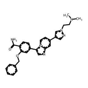 CN(C)CCn1cc(-c2ccn3c(-c4ccc(C(N)=O)c(OCc5ccccc5)c4)cnc3c2)cn1